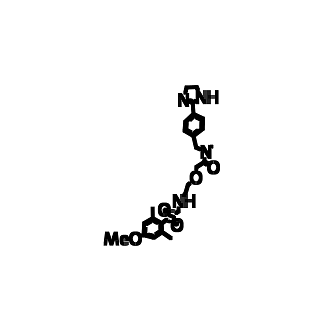 COc1cc(C)c(S(=O)(=O)CNCCOCC(=O)N(C)Cc2ccc(C3=NCCN3)cc2)c(C)c1